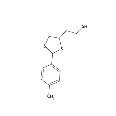 Cc1ccc(C2SCC(CCS)S2)cc1